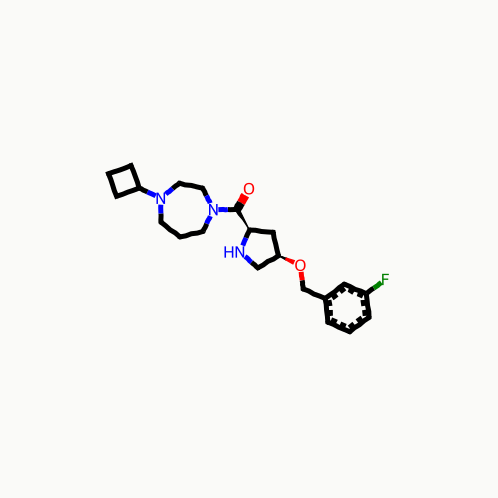 O=C([C@H]1C[C@@H](OCc2cccc(F)c2)CN1)N1CCCN(C2CCC2)CC1